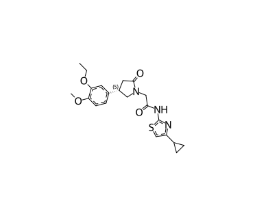 CCOc1cc([C@@H]2CC(=O)N(CC(=O)Nc3nc(C4CC4)cs3)C2)ccc1OC